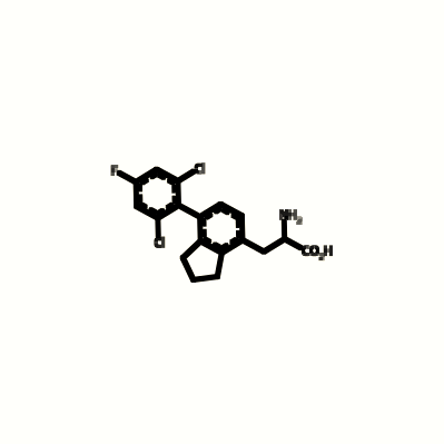 NC(Cc1ccc(-c2c(Cl)cc(F)cc2Cl)c2c1CCC2)C(=O)O